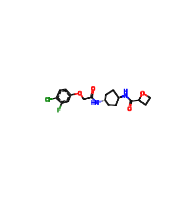 O=C(COc1ccc(Cl)c(F)c1)N[C@H]1CC[C@H](NC(=O)C2CCO2)CC1